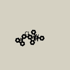 Clc1ccc(-c2ccccc2-c2nc(-c3ccccc3)nc(-c3ccccc3)n2)cc1-c1cccc(-n2c3ccccc3c3ccccc32)c1